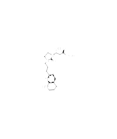 CC(C)COC(=O)C[C@@H](O)N1CCN(CCCc2ccc3c(n2)NCCC3)C1=O